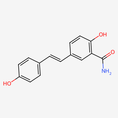 NC(=O)c1cc(C=Cc2ccc(O)cc2)ccc1O